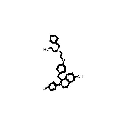 OCCN(CCOc1ccc(CC2c3ccc(O)cc3CCN2c2ccc(F)cc2)cc1)Cc1ccccc1